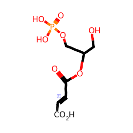 O=C(O)/C=C/C(=O)OC(CO)COP(=O)(O)O